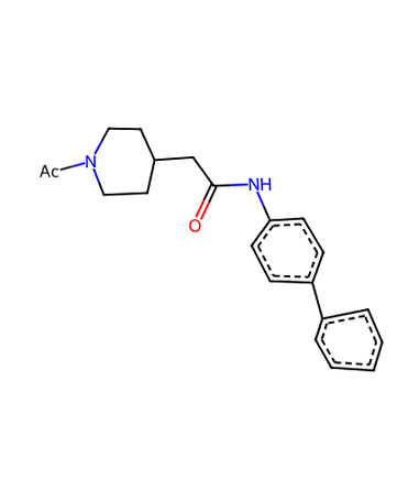 CC(=O)N1CCC(CC(=O)Nc2ccc(-c3ccccc3)cc2)CC1